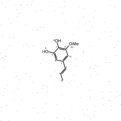 CC=Cc1cc(O)c(O)c(OC)c1